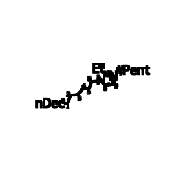 CCCCCCCCCCCCCCCCn1cc[n+](CCCCC)c1CC